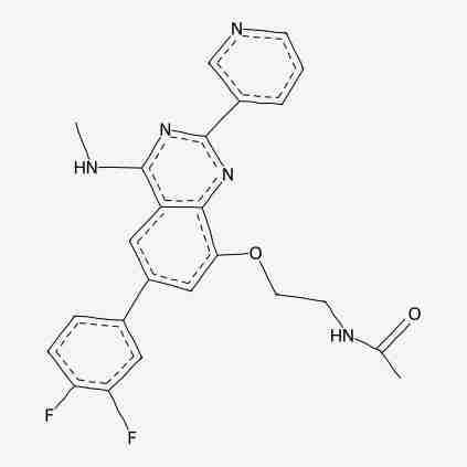 CNc1nc(-c2cccnc2)nc2c(OCCNC(C)=O)cc(-c3ccc(F)c(F)c3)cc12